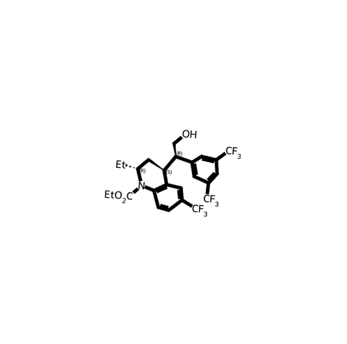 CCOC(=O)N1c2ccc(C(F)(F)F)cc2[C@H]([C@@H](CO)c2cc(C(F)(F)F)cc(C(F)(F)F)c2)C[C@H]1CC